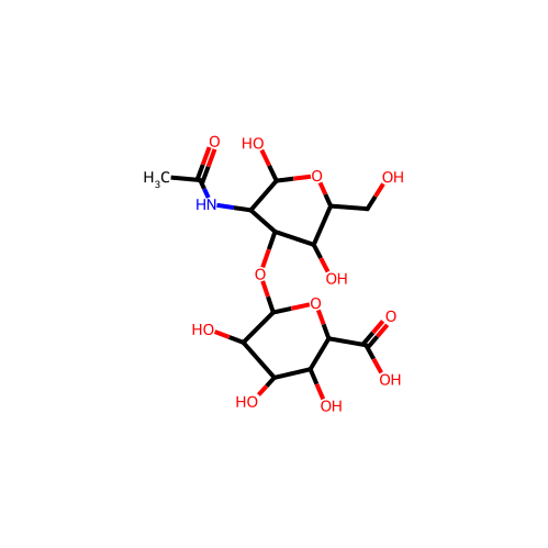 CC(=O)NC1C(O)OC(CO)C(O)C1OC1OC(C(=O)O)C(O)C(O)C1O